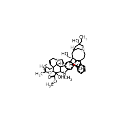 CC[C@]1(O)C[C@@H]2CN(CCc3c([nH]c4ccccc34)[C@@](CO)(c3cc4c(cc3OC)N(C)C3C(O)(C(=O)OC)[C@H](OC(C)=O)[C@]5(CC)C=CCN6CC[C@]43[C@@H]65)C2)C1